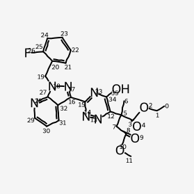 CCOC(=O)C(C)(CC(=O)OC)c1nnc(-c2nn(Cc3ccccc3F)c3ncccc23)nc1O